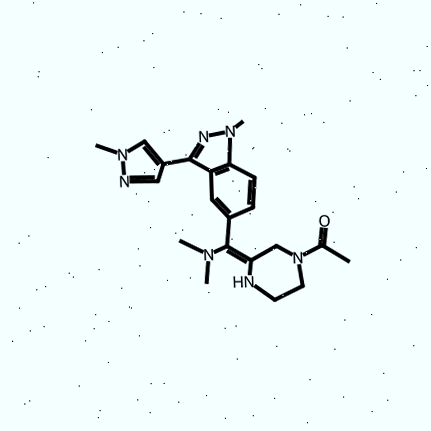 CC(=O)N1CCN/C(=C(/c2ccc3c(c2)c(-c2cnn(C)c2)nn3C)N(C)C)C1